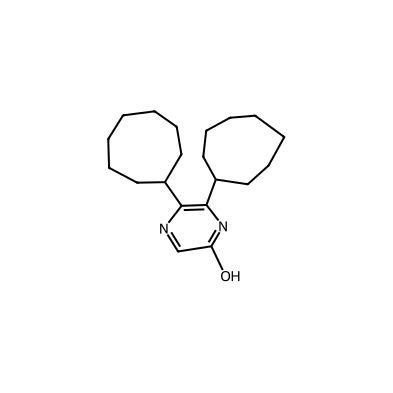 Oc1cnc(C2CCCCCCC2)c(C2CCCCCCC2)n1